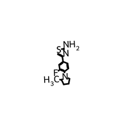 CC1CCCN1c1ccc(-c2csc(N)n2)cc1F